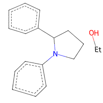 CCO.c1ccc(C2CCCN2c2ccccc2)cc1